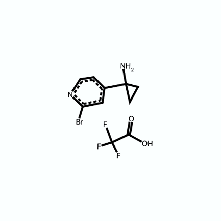 NC1(c2ccnc(Br)c2)CC1.O=C(O)C(F)(F)F